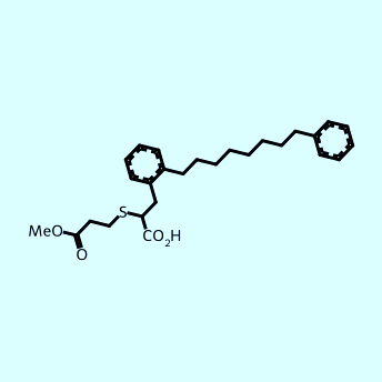 COC(=O)CCSC(Cc1ccccc1CCCCCCCCc1ccccc1)C(=O)O